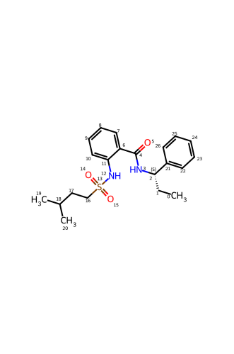 CC[C@H](NC(=O)c1ccccc1NS(=O)(=O)CCC(C)C)c1ccccc1